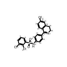 CCc1c(Cl)cccc1S(=O)(=O)Nc1ccc(C2=NCCc3cc(C(F)(F)F)ccc32)cc1